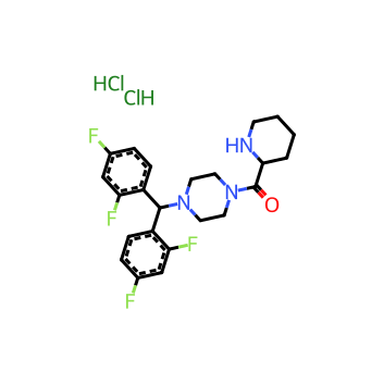 Cl.Cl.O=C(C1CCCCN1)N1CCN(C(c2ccc(F)cc2F)c2ccc(F)cc2F)CC1